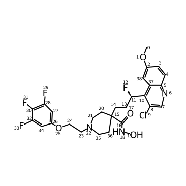 COc1ccc2ncc(Cl)c([C@H](F)CCC3(C(=O)NO)CCN(CCOc4cc(F)c(F)c(F)c4)CC3)c2c1